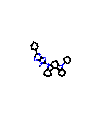 Cn1c(-n2c3ccccc3c3c4c5ccccc5n(-c5ccccc5)c4ccc32)nc2nc(-c3ccccc3)cnc21